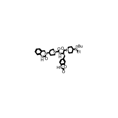 CCCCN(CC)C1CCN(C(=O)[C@@H](Cc2ccc3[nH]c(=O)oc3c2)NC(=O)N2CCC(N3Cc4ccccc4NC3=O)CC2)CC1